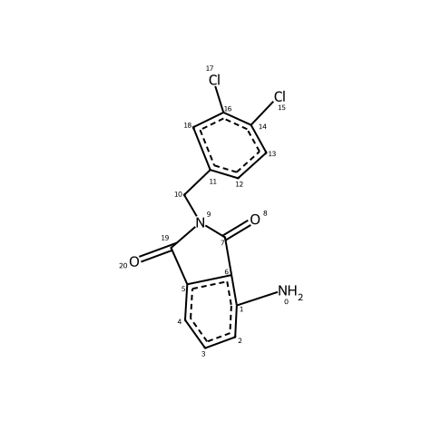 Nc1cccc2c1C(=O)N(Cc1ccc(Cl)c(Cl)c1)C2=O